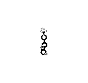 CC(C)(C)OC(=O)N1CCC(c2ccc3c4c(nn3c2)CCNC4)CC1